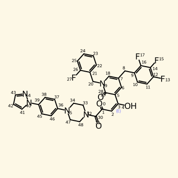 O=C(/C=C(/O)c1cc(Cc2ccc(F)c(F)c2F)cn(Cc2ccccc2F)c1=O)C(=O)N1CCN(c2ccc(-n3cccn3)cc2)CC1